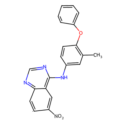 Cc1cc(Nc2ncnc3c[c]c([N+](=O)[O-])cc23)ccc1Oc1ccccc1